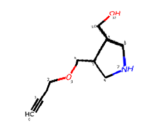 C#CCOCC1CNCC1CO